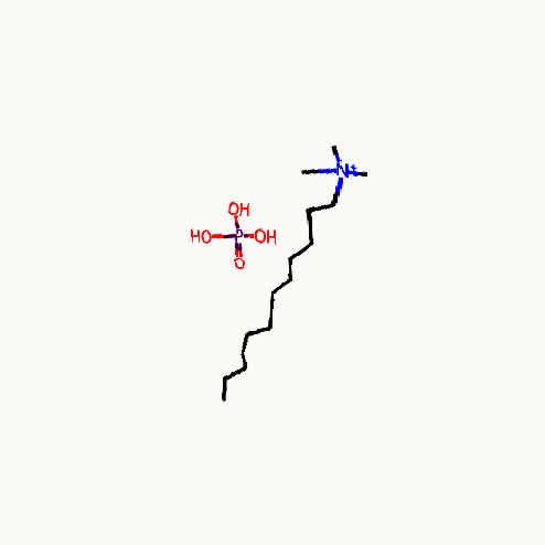 CCCCCCCCCCC[N+](C)(C)C.O=P(O)(O)O